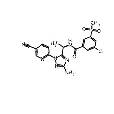 CC(NC(=O)c1cc(Cl)cc(S(C)(=O)=O)c1)c1nc(N)nn1-c1ccc(C#N)cn1